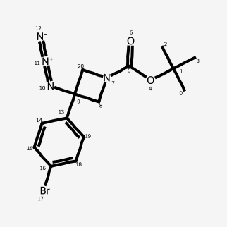 CC(C)(C)OC(=O)N1CC(N=[N+]=[N-])(c2ccc(Br)cc2)C1